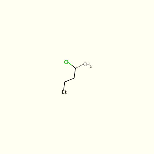 CCCC[C@@H](C)Cl